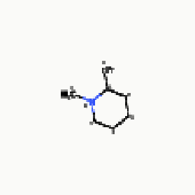 CCCC1CCCCN1C